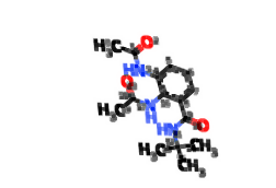 CC(=O)Nc1cccc(C(=O)NC(C)(C)C)c1NC(C)=O